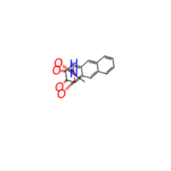 O=C1C(=O)c2c(=O)[nH]c(=O)c1c1cc3ccccc3cc21